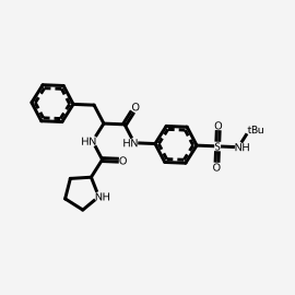 CC(C)(C)NS(=O)(=O)c1ccc(NC(=O)C(Cc2ccccc2)NC(=O)C2CCCN2)cc1